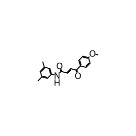 COc1ccc(C(=O)C=CC(=O)Nc2cc(C)cc(C)c2)cc1